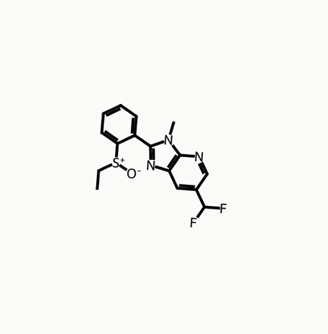 CC[S+]([O-])c1ccccc1-c1nc2cc(C(F)F)cnc2n1C